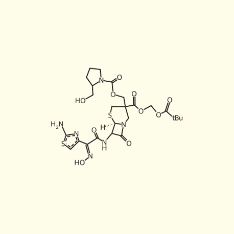 CC(C)(C)C(=O)OCOC(=O)C1(COC(=O)N2CCCC2CO)CS[C@@H]2C(NC(=O)C(=NO)c3csc(N)n3)C(=O)N2C1